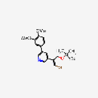 COc1ccc(-c2cncc(/C(=C/Br)CO[Si](C)(C)C(C)(C)C)c2)cc1OC